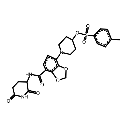 Cc1ccc(S(=O)(=O)OC2CCN(c3ccc(C(=O)NC4CCC(=O)NC4=O)c4c3OCO4)CC2)cc1